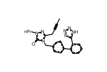 CC#CCc1nn(CCC)c(=O)n1Cc1ccc(-c2ccccc2-c2nnn[nH]2)cc1